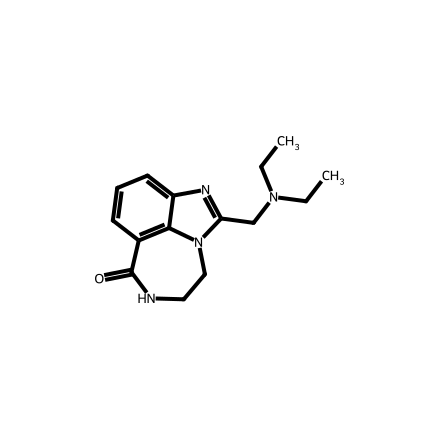 CCN(CC)Cc1nc2cccc3c2n1CCNC3=O